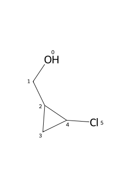 OCC1CC1Cl